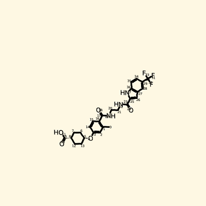 Cc1cc(O[C@H]2CC[C@@H](C(=O)O)CC2)ccc1C(=O)NCCNC(=O)c1cc2cc(C(F)(F)F)ccc2[nH]1